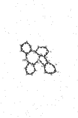 c1ccc2c(c1)[nH]c1ccccc1n1c3ccccc3c3cccc2c31